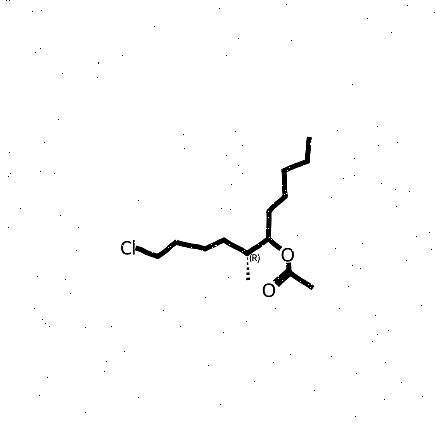 CCCCCC(OC(C)=O)[C@H](C)CCCCCl